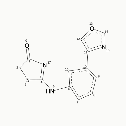 O=C1CSC(Nc2cccc(-c3cocn3)c2)=N1